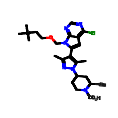 Cc1nn(C2CCN(C(=O)O)C(C(C)(C)C)C2)c(C)c1-c1cc2c(Cl)ncnc2n1COCC[Si](C)(C)C